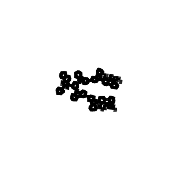 CC1(C)c2ccccc2-c2ccc(-n3c4ccccc4c4cc(-c5ccc6c(c5)c5ccccc5n6-c5cc(-c6nc(-c7ccccc7)nc7c6ccc6ccccc67)cc(-n6c7ccccc7c7cc(-c8ccc9c(c8)c8ccccc8n9-c8ccc9c(c8)C(C)(C)c8ccccc8-9)ccc76)c5)ccc43)cc21